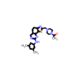 CC(=O)N1CCN(Cc2nc3ccc4cnc(Nc5cc(C)cc(C)c5)nc4c3s2)CC1